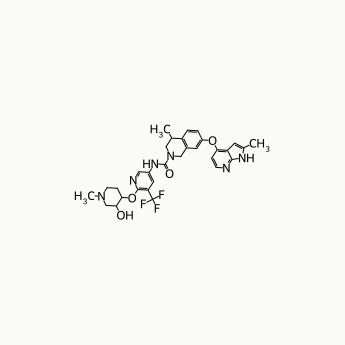 Cc1cc2c(Oc3ccc4c(c3)CN(C(=O)Nc3cnc(OC5CCN(C)CC5O)c(C(F)(F)F)c3)CC4C)ccnc2[nH]1